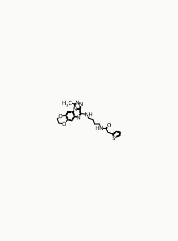 Cc1nnc2c(NCCCCNC(=O)Cc3cccs3)nc3cc4c(cc3n12)OCCO4